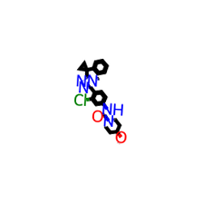 COC1CCN(C(=O)Nc2ccc(-c3nnc(C4(c5ccccc5)CC4)n3C)c(Cl)c2)CC1